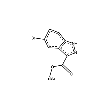 CCCCOC(=O)c1n[nH]c2ccc(Br)cc12